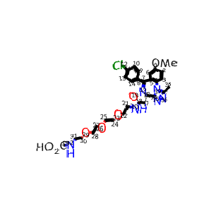 COc1ccc2c(c1)C(c1ccc(Cl)cc1)=N[C@@H](CC(=O)NCCOCCOCCOCCNC(=O)O)c1nnc(C)n1-2